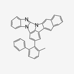 Cc1cccc(-c2ccccc2)c1-c1cc2c3cc4ccccc4cc3n3c2c(c1)n1c2ccccc2nc13